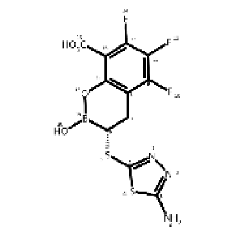 Nc1nnc(S[C@H]2Cc3c(F)c(F)c(F)c(C(=O)O)c3OB2O)s1